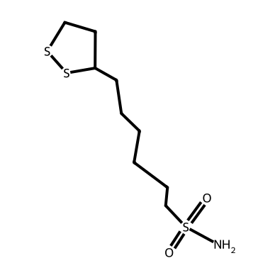 NS(=O)(=O)CCCCCCC1CCSS1